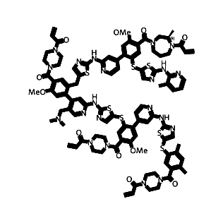 C=CC(=O)N1CCN(C(=O)c2cc(Sc3cnc(Nc4cc(-c5cc(OC)c(C(=O)N6CCN(C(=O)C=C)CC6)cc5Sc5cnc(Nc6cc(-c7cc(OC)c(C(=O)N8CCN(C(=O)C=C)CC8)cc7Cc7cnc(Nc8cc(-c9cc(OC)c(C(=O)N%10CCCN(C(=O)C=C)[C@H](C)C%10)cc9Sc9cnc(Nc%10ncccc%10C)s9)ccn8)s7)c(CN(C)C)cn6)s5)ccn4)s3)c(C)cc2C)CC1